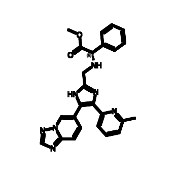 COC(=O)[C@@H](NCc1nc(-c2cccc(C)n2)c(-c2ccc3ncnn3c2)[nH]1)c1ccccc1